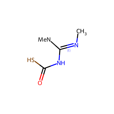 C/N=C(\NC)NC(=O)S